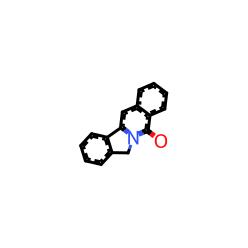 O=c1c2ccccc2cc2n1Cc1ccccc1-2